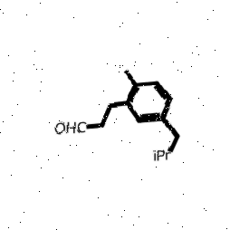 Cc1ccc(CC(C)C)cc1CCC=O